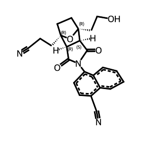 N#CCC[C@]12CC[C@](CCO)(O1)[C@H]1C(=O)N(c3ccc(C#N)c4ccccc34)C(=O)[C@H]12